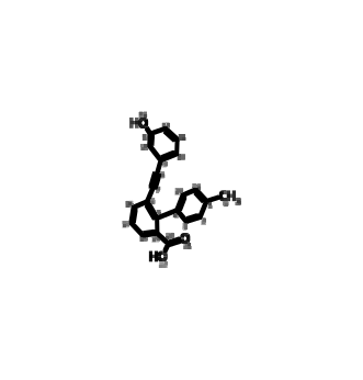 Cc1ccc(-c2c(C#Cc3cccc(O)c3)cccc2C(=O)O)cc1